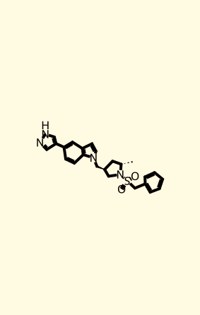 C[C@H]1C[C@H](Cn2ccc3cc(-c4cn[nH]c4)ccc32)CN1S(=O)(=O)Cc1ccccc1